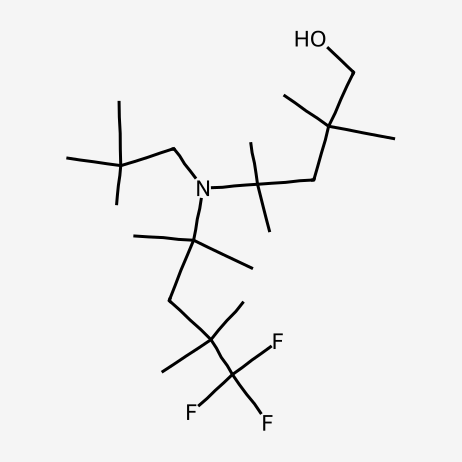 CC(C)(C)CN(C(C)(C)CC(C)(C)CO)C(C)(C)CC(C)(C)C(F)(F)F